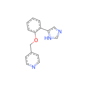 c1ccc(-c2cnc[nH]2)c(OCc2ccncc2)c1